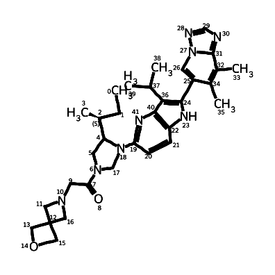 CC[C@H](C)C1CN(C(=O)CN2CC3(COC3)C2)CN1c1ccc2[nH]c(-c3cn4ncnc4c(C)c3C)c(C(C)C)c2n1